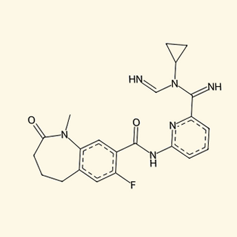 CN1C(=O)CCCc2cc(F)c(C(=O)Nc3cccc(C(=N)N(C=N)C4CC4)n3)cc21